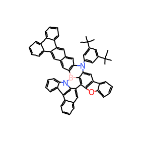 CC(C)(C)c1cc(N2c3cc4cc5c6ccccc6c6ccccc6c5cc4cc3B3c4c2cc2c(oc5ccccc52)c4-c2cc4ccccc4c4c5ccccc5n3c24)cc(C(C)(C)C)c1